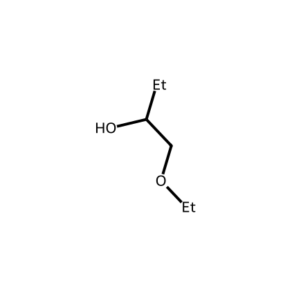 CCOCC(O)CC